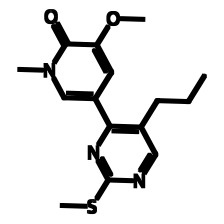 CCCc1cnc(SC)nc1-c1cc(OC)c(=O)n(C)c1